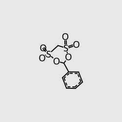 O=S1(=O)CS(=O)(=O)OC(c2ccccc2)O1